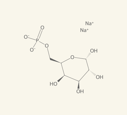 O=P([O-])([O-])OC[C@H]1O[C@H](O)[C@H](O)[C@@H](O)[C@H]1O.[Na+].[Na+]